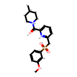 COc1cccc(S(=O)(=O)Cc2cccc(C(=O)N3CCC(C)CC3)n2)c1